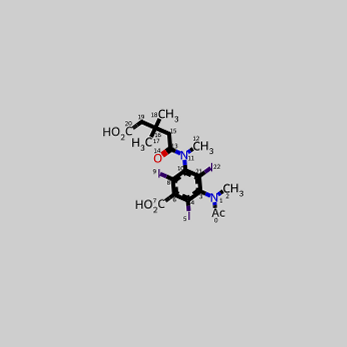 CC(=O)N(C)c1c(I)c(C(=O)O)c(I)c(N(C)C(=O)CC(C)(C)CC(=O)O)c1I